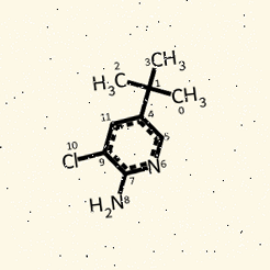 CC(C)(C)c1cnc(N)c(Cl)c1